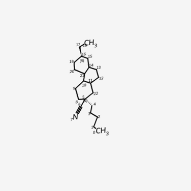 CCCCC[C@]1(C#N)CCC2C(CCC3C[C@H](CC)CCC32)C1